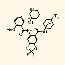 COc1ccnc(N[C@@H]2CCCNC2)c1C(=O)Nc1cc2c(cc1C(=O)NC13CCC(C(F)(F)F)(CC1)OC3)OC(F)(F)O2